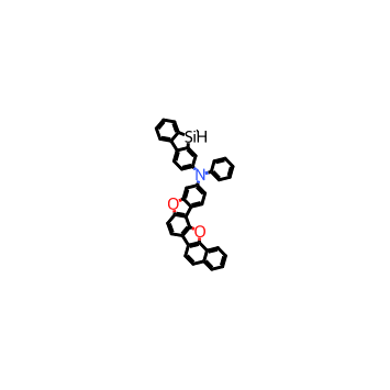 C[SiH]1c2ccccc2-c2ccc(N(c3ccccc3)c3ccc4c(c3)oc3ccc5c6ccc7ccccc7c6oc5c34)cc21